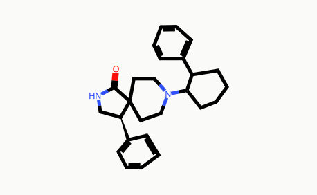 O=C1NC[C@H](c2ccccc2)C12CCN(C1CCCCC1c1ccccc1)CC2